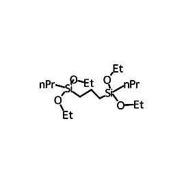 CCC[Si](CCC[Si](CCC)(OCC)OCC)(OCC)OCC